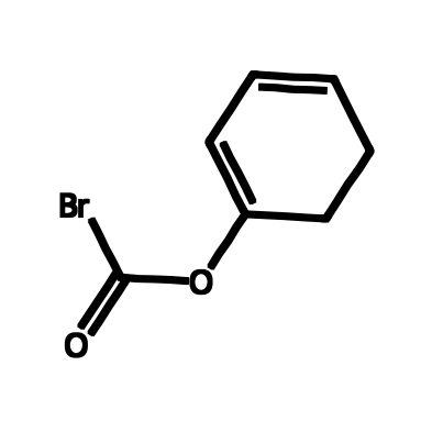 O=C(Br)OC1=CC=CCC1